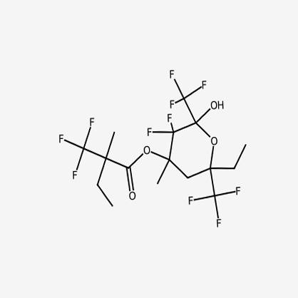 CCC1(C(F)(F)F)CC(C)(OC(=O)C(C)(CC)C(F)(F)F)C(F)(F)C(O)(C(F)(F)F)O1